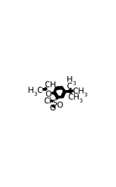 CC(C)Oc1ccc(C(C)(C)C)cc1S(=O)(=O)Cl